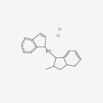 CC1CC2CC=CC=C2[CH]1[Zr+2][CH]1C=Cc2ccccc21.[Cl-].[Cl-]